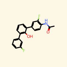 CC(=O)Nc1ccc(-c2cccc(-c3cccc(F)c3)c2O)cc1F